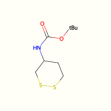 CC(C)(C)OC(=O)NC1CCSSC1